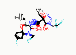 CC[C@H]1Oc2ccc(F)cc2N(CF)C(=O)[C@H]1NC(=O)C(O)(CC)C(O)NCC(F)(F)F